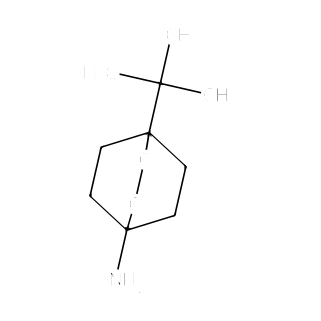 CC(C)(C)C12CCC(N)(CC1)CC2